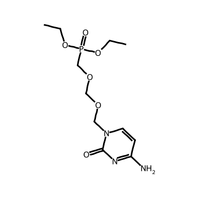 CCOP(=O)(COCOCn1ccc(N)nc1=O)OCC